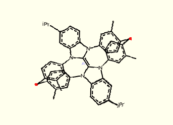 Cc1ccc(N2/C(=C3/N(c4ccc(C)c(C)c4)c4ccc(C(C)C)cc4N3c3ccc(C)c(C)c3)N(c3ccc(C)c(C)c3)c3cc(C(C)C)ccc32)cc1C